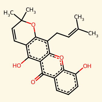 CC(C)=CCc1c2c(c(O)c3c(=O)c4cccc(O)c4oc13)C=CC(C)(C)O2